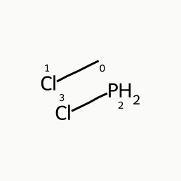 CCl.PCl